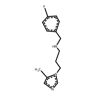 Cc1cncn1CCCNCc1ccc(F)cc1